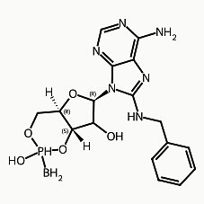 B[PH]1(O)OC[C@H]2O[C@@H](n3c(NCc4ccccc4)nc4c(N)ncnc43)C(O)[C@@H]2O1